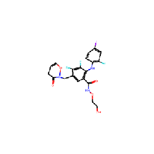 O=C(NOCCO)c1cc(CN2OC=CCC2=O)c(F)c(F)c1Nc1ccc(I)cc1F